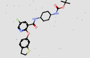 CC(C)(C)OC(=O)N[C@H]1CC[C@@H](NC(=O)c2cc(F)cnc2Oc2ccc3c(c2)SCC3)CC1